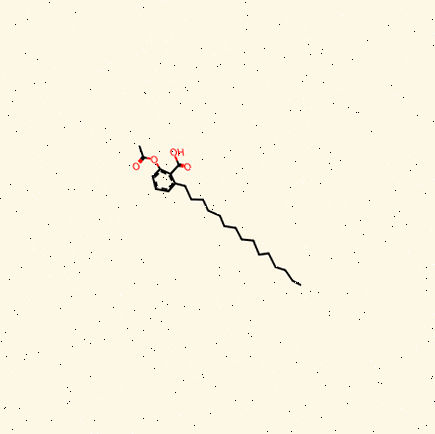 CCCCCCCCCCCCCCCc1cccc(OC(C)=O)c1C(=O)O